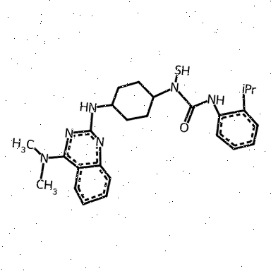 CC(C)c1ccccc1NC(=O)N(S)C1CCC(Nc2nc(N(C)C)c3ccccc3n2)CC1